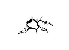 COc1ccc([CH]N)c(C)c1